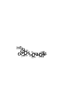 O=C(O)CN1C(=O)CCc2cc(SCc3ccc(OCc4ccc(C(F)(F)F)cc4)cc3)ccc21